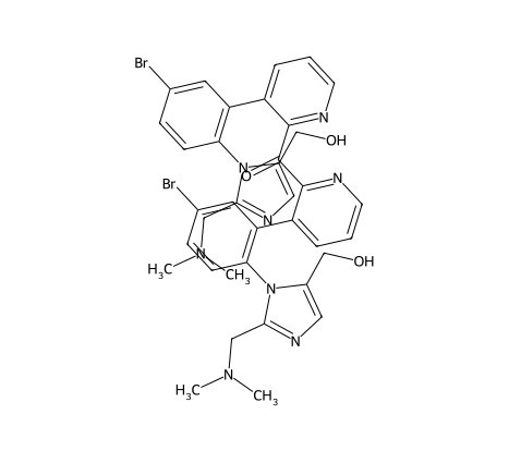 CN(C)Cc1ncc(CO)n1-c1ccc(Br)cc1-c1cccnc1C(=O)c1ncccc1-c1cc(Br)ccc1-n1c(CO)cnc1CN(C)C